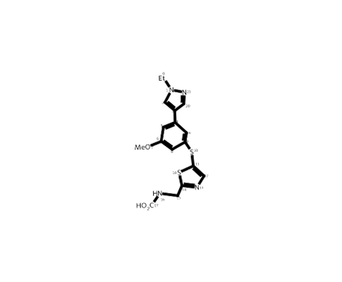 CCn1cc(-c2cc(OC)cc(Sc3cnc(CNC(=O)O)s3)c2)cn1